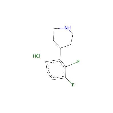 Cl.Fc1cccc(C2CCNCC2)c1F